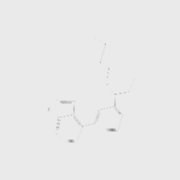 CCCCNC(CC)c1cccc(-c2ccnc3[nH]ncc23)c1